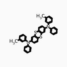 Cc1cccc(N(c2ccccc2)c2ccc3c(c2)Sc2ccc(N(c4ccccc4)c4cccc(C)c4)cc2S3)c1